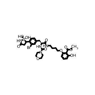 COC(=O)c1c(O)cccc1OCCCCNC(=O)[C@H](Cc1ccc(C2CC(=O)NS2(O)O)c(Br)c1)NC(=O)N1CCOCC1